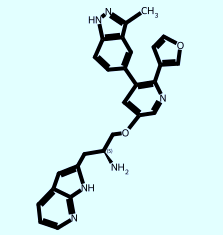 Cc1n[nH]c2ccc(-c3cc(OC[C@@H](N)Cc4cc5cccnc5[nH]4)cnc3-c3ccoc3)cc12